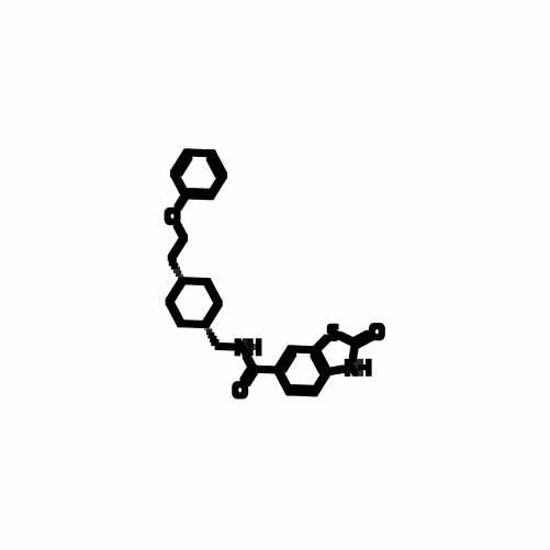 O=C(NC[C@H]1CC[C@@H](CCOc2ccccc2)CC1)c1ccc2[nH]c(=O)sc2c1